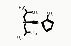 CC(C)[CH2][Al]([C]#N)[CH2]C(C)C.Cc1ccccc1